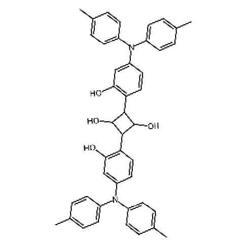 Cc1ccc(N(c2ccc(C)cc2)c2ccc(C3C(O)C(c4ccc(N(c5ccc(C)cc5)c5ccc(C)cc5)cc4O)C3O)c(O)c2)cc1